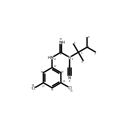 CC(C)C(C)(C)N(C#N)C(=N)Nc1cc(Cl)cc(Cl)c1